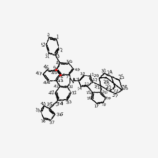 c1ccc(-c2ccc(N(c3ccc4c(c3)-c3ccccc3C43C4CC5CC(C4)CC3C5)c3ccc(-c4ccccc4)cc3-c3ccccc3)cc2)cc1